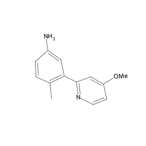 COc1ccnc(-c2cc(N)ccc2C)c1